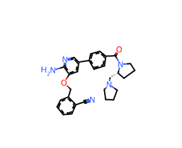 N#Cc1ccccc1COc1cc(-c2ccc(C(=O)N3CCC[C@@H]3CN3CCCC3)cc2)cnc1N